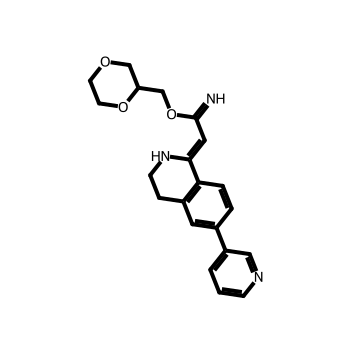 N=C(/C=C1\NCCc2cc(-c3cccnc3)ccc21)OCC1COCCO1